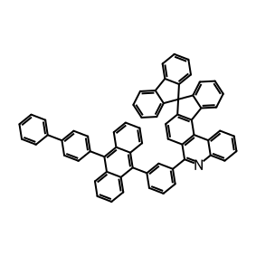 c1ccc(-c2ccc(-c3c4ccccc4c(-c4cccc(-c5nc6ccccc6c6c7c(ccc56)C5(c6ccccc6-c6ccccc65)c5ccccc5-7)c4)c4ccccc34)cc2)cc1